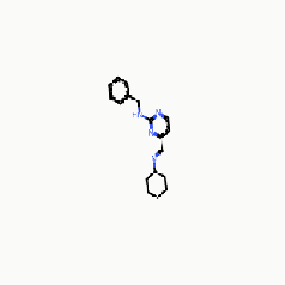 C(=NC1CCCCC1)c1ccnc(NCc2ccccc2)n1